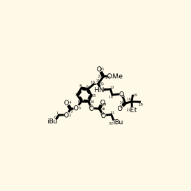 CCC(C)COC(=O)Oc1ccc(C[C@H](NCCOC(=O)C(C)(C)CC)C(=O)OC)cc1OC(=O)OCC(C)CC